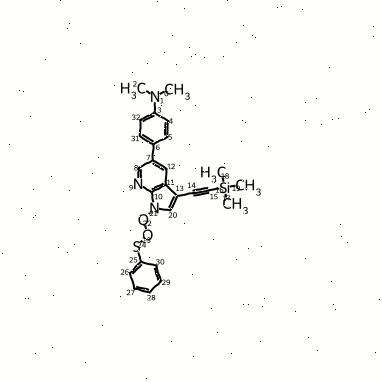 CN(C)c1ccc(-c2cnc3c(c2)c(C#C[Si](C)(C)C)cn3OOSc2ccccc2)cc1